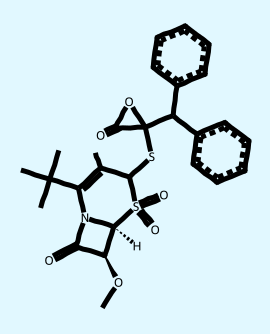 CO[C@H]1C(=O)N2C(C(C)(C)C)=C(C)C(SC3(C(c4ccccc4)c4ccccc4)OC3=O)S(=O)(=O)[C@@H]12